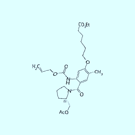 C=CCOC(=O)Nc1cc(OCCCCCC(=O)OCC)c(C)cc1C(=O)N1CCC[C@H]1COC(C)=O